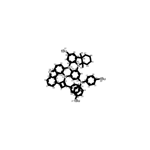 CC1=CC(c2ccccc2)=C1N1c2cc(N(c3ccc(C(C)(C)C)cc3)c3ccc(C(C)(C)C)cc3)cc3c2B(c2cc(C(C)(C)C)cc4c2N3C2(C)CCCCC42C)c2ccc3oc4ccccc4c3c21